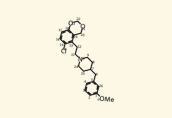 COc1cccc(CC2CCN(CCc3c(Cl)ccc4c3COCO4)CC2)c1